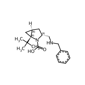 CC(C)(C)[C@@]12C[C@H]1C[C@H](CNCc1ccccc1)N2C(=O)O